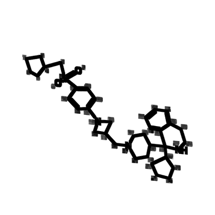 O=S(=O)(CC1CCCC1)c1ccc(N2CC(CN3CCC(C4(C5CCCC5)NCCc5ccccc54)CC3)C2)cc1